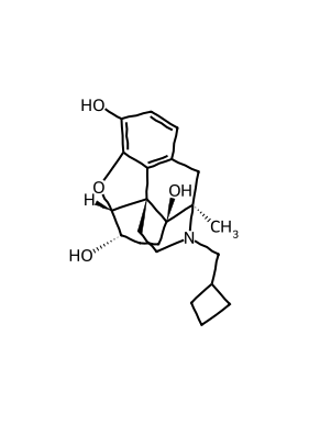 C[C@]12Cc3ccc(O)c4c3[C@@]3(CCN1CC1CCC1)[C@@H](O4)[C@@H](O)CC[C@]32O